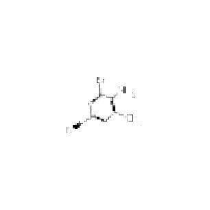 Cc1cc(C#N)cc(Br)c1N